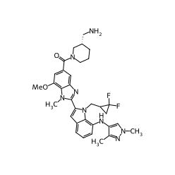 COc1cc(C(=O)N2CCC[C@@H](CN)C2)cc2nc(-c3cc4cccc(Nc5cn(C)nc5C)c4n3CC3CC3(F)F)n(C)c12